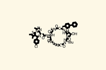 Cc1sc2c(c1C)C(c1ccc(Cl)cc1)=N[C@@H](CC(=O)NC[C@H]1NC(=O)[C@@H](C)NC(=O)C[C@@H](Cc3ccc(-c4ccccc4)cc3)NC(=O)[C@@H]3C[C@@H](O)CN3C(=O)[C@H](C(C)(C)C)NC(=O)COCCNC1=O)c1nnc(C)n1-2